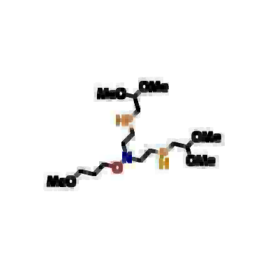 COCCCON(CCPCC(OC)OC)CCPCC(OC)OC